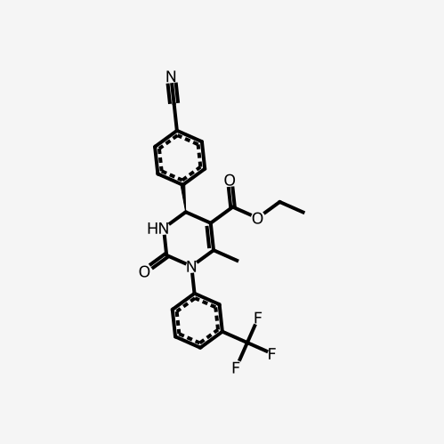 CCOC(=O)C1=C(C)N(c2cccc(C(F)(F)F)c2)C(=O)N[C@H]1c1ccc(C#N)cc1